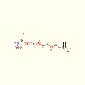 CCCNC(=O)OCCOCCOCCNCC